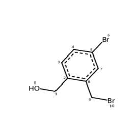 OCc1ccc(Br)cc1CBr